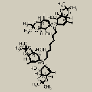 CC1(C)O[C@H]2[C@H](O)[C@@H](N(CCCCCCCN([C@H]3C=C(I)[C@H]4OC(C)(C)O[C@H]4[C@@H]3O)[C@H]3C=C(I)[C@H]4OC(C)(C)O[C@H]4[C@@H]3O)[C@H]3C=C(I)[C@H]4OC(C)(C)O[C@H]4[C@@H]3O)C=C(I)[C@H]2O1